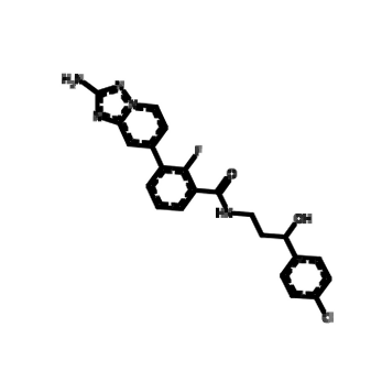 Nc1nc2cc(-c3cccc(C(=O)NCCC(O)c4ccc(Cl)cc4)c3F)ccn2n1